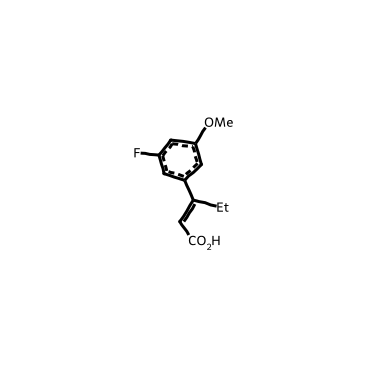 CC/C(=C\C(=O)O)c1cc(F)cc(OC)c1